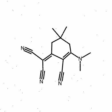 CN(C)C1=C(C#N)C(=C(C#N)C#N)CC(C)(C)C1